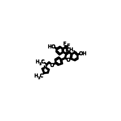 CC1=C(c2ccc(O)cc2C(F)(F)F)C(c2ccc(OC[C@H](C)N3CC[C@@H](C)C3)cc2)Oc2ccc(O)cc21